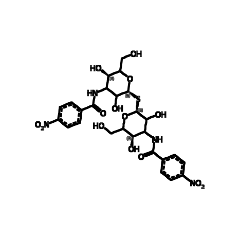 O=C(NC1C(O)[C@H](S[C@@H]2OC(CO)[C@H](O)C(NC(=O)c3ccc([N+](=O)[O-])cc3)C2O)OC(CO)[C@@H]1O)c1ccc([N+](=O)[O-])cc1